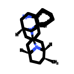 C[C@@H]1CC[C@H]2C[C@@H](Nc3ccccc3N)C[C@@H]1N2[C@H]1C[C@@H]2CCC[C@@H](C2)C1